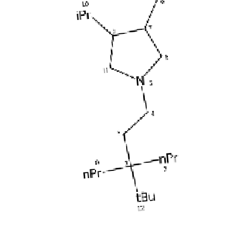 CCCC(CCC)(CCN1CC(C)C(C(C)C)C1)C(C)(C)C